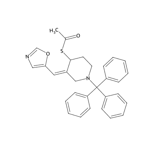 CC(=O)SC1CCN(C(c2ccccc2)(c2ccccc2)c2ccccc2)C/C1=C/c1cnco1